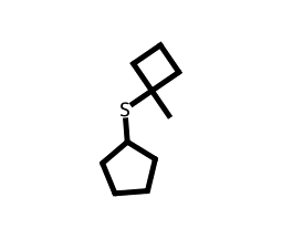 CC1(SC2CCCC2)CCC1